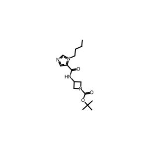 CCCCn1cncc1C(=O)NC1CN(C(=O)OC(C)(C)C)C1